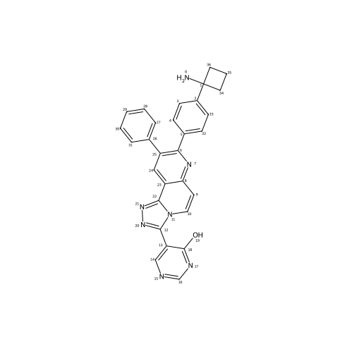 NC1(c2ccc(-c3nc4ccn5c(-c6cncnc6O)nnc5c4cc3-c3ccccc3)cc2)CCC1